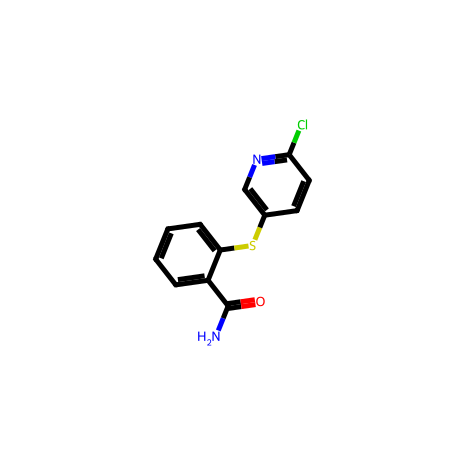 NC(=O)c1ccccc1Sc1ccc(Cl)nc1